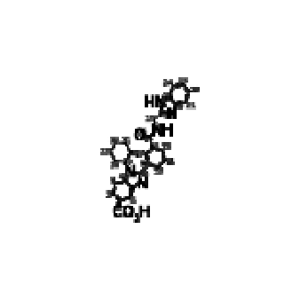 O=C(O)c1ccc2c(c1)nc(-c1cccc(C(=O)NCc3nc4ccccc4[nH]3)c1)n2C1CCCCC1